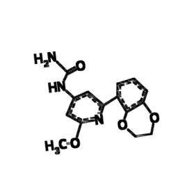 COc1cc(NC(N)=O)cc(-c2cccc3c2OCCO3)n1